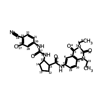 CCn1c(=O)c2cc(NC(=O)C3CCCC3NC(=O)Nc3ccc(C#N)c(Cl)c3)ccc2n(CC)c1=O